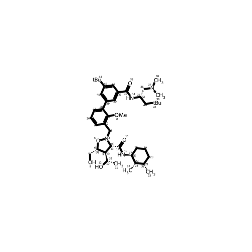 COc1c(CN2O[C@@H](CO)[C@H]([C@H](C)O)[C@H]2C(=O)N[C@H]2CCC[C@H](C)[C@@H]2C)cccc1-c1cc(C(=O)N[C@H](CN(C)C)CC(C)(C)C)cc(C(C)(C)C)c1